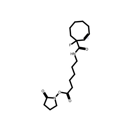 O=C(CCCCCNC(=O)C1(F)/C=C\CCCCC1)ON1CCCC1=O